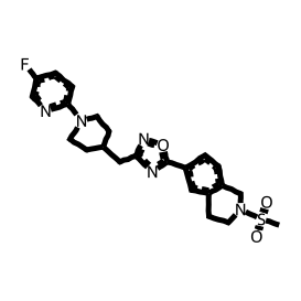 CS(=O)(=O)N1CCc2cc(-c3nc(CC4CCN(c5ccc(F)cn5)CC4)no3)ccc2C1